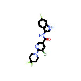 O=C(Nc1c[nH]c2cc(F)ccc12)c1cnc(N2CCC(F)(F)CC2)c(Cl)c1